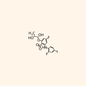 CC(O)C(O)Oc1cc(F)cc(Nc2ccc(I)cc2F)c1[N+](=O)[O-]